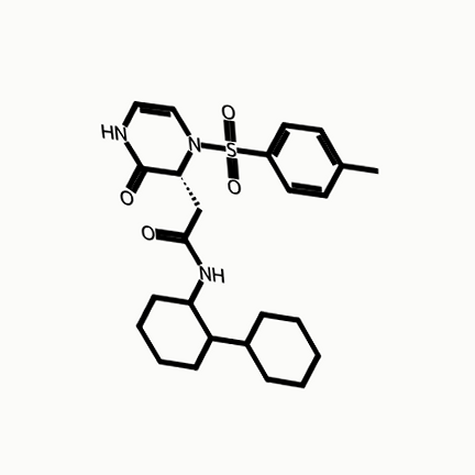 Cc1ccc(S(=O)(=O)N2C=CNC(=O)[C@H]2CC(=O)NC2CCCCC2C2CCCCC2)cc1